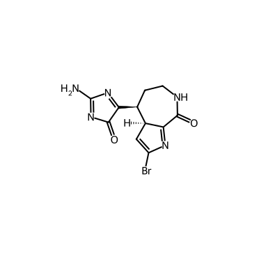 NC1=NC(=O)C([C@H]2CCNC(=O)C3=NC(Br)=C[C@H]32)=N1